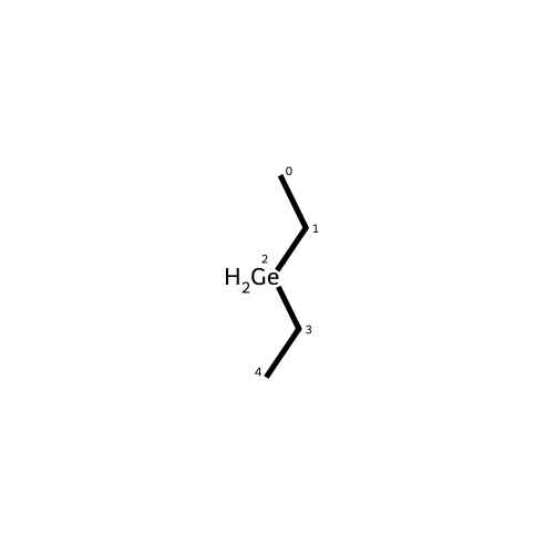 C[CH2][GeH2][CH2]C